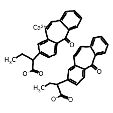 CCC(C(=O)[O-])c1ccc2c(=O)c3ccccc3ccc2c1.CCC(C(=O)[O-])c1ccc2c(=O)c3ccccc3ccc2c1.[Ca+2]